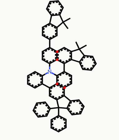 CC1(C)c2ccccc2-c2ccc(-c3ccc(N(c4ccccc4-c4ccc5c(c4)C(c4ccccc4)(c4ccccc4)c4ccccc4-5)c4ccccc4-c4cccc5c4-c4ccccc4C5(C)C)cc3)cc21